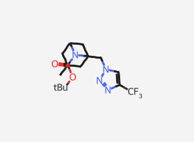 CC1CC2CC(Cn3cc(C(F)(F)F)nn3)(C1)N2C(=O)OC(C)(C)C